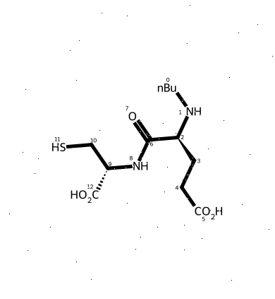 CCCCN[C@@H](CCC(=O)O)C(=O)N[C@@H](CS)C(=O)O